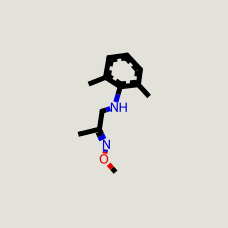 CON=C(C)CNc1c(C)cccc1C